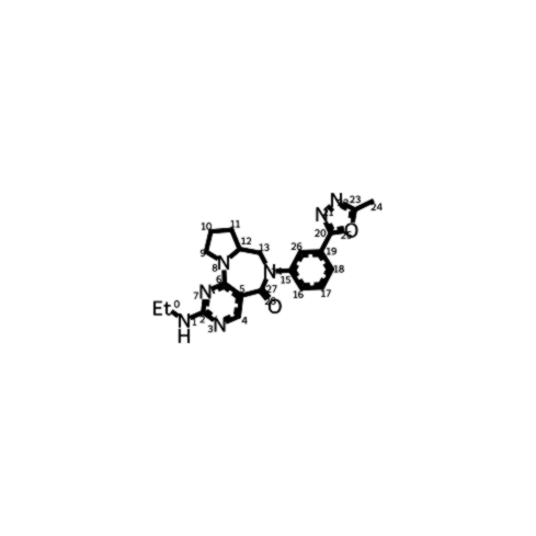 CCNc1ncc2c(n1)N1CCCC1CN(c1cccc(-c3nnc(C)o3)c1)C2=O